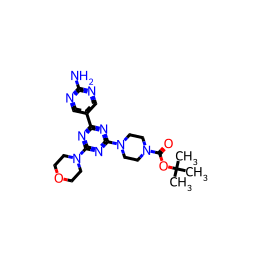 CC(C)(C)OC(=O)N1CCN(c2nc(-c3cnc(N)nc3)nc(N3CCOCC3)n2)CC1